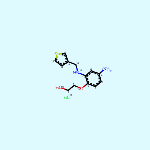 Cl.Nc1ccc(OCCO)c(NCc2ccsc2)c1